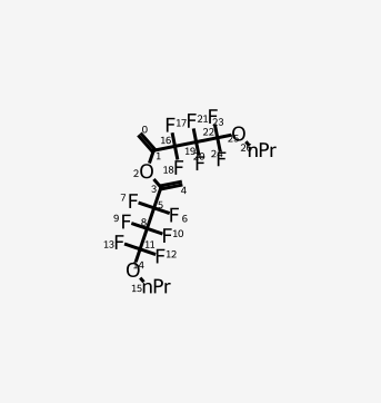 C=C(OC(=C)C(F)(F)C(F)(F)C(F)(F)OCCC)C(F)(F)C(F)(F)C(F)(F)OCCC